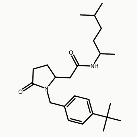 CC(C)CCC(C)NC(=O)CC1CCC(=O)N1Cc1ccc(C(C)(C)C)cc1